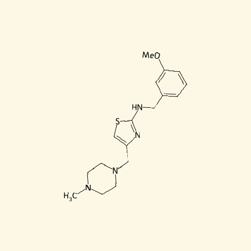 COc1cccc(CNc2nc(CN3CCN(C)CC3)cs2)c1